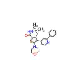 CC1(C)Cc2c(sc(N3CCOCC3)c2-c2ccnc(-c3ccccc3)c2)C(=O)N1